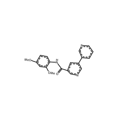 COc1ccc(NC(=O)c2cncc(-c3cccnc3)c2)c(OC)c1